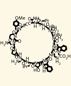 CCCC[C@H]1C(=O)N(C)[C@@H](CCCC)C(=O)N[C@@H](CC(C)C)C(=O)N[C@H](C(N)=O)CCCC(=O)N[C@@H](Cc2ccc(OC)cc2)C(=O)N2CCCC[C@@]23C(=O)N3[C@@H](CC(N)=O)C(=O)N2CCC[C@H]2C(=O)N[C@@H](CN)C(=O)N[C@@H](CC(C)C)C(=O)N2C[C@H](O)C[C@H]2C(=O)N[C@@H](Cc2c[nH]c3ccccc23)C(=O)N[C@@H](CCN)C(=O)N[C@@H](Cc2cn(CC(=O)O)c3ccccc23)C(=O)N1C